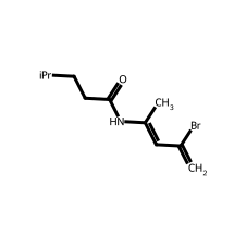 C=C(Br)/C=C(\C)NC(=O)CCC(C)C